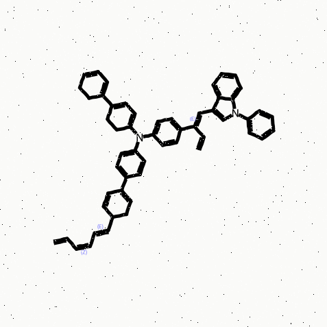 C=C/C=C\C=C\C1C=CC(c2ccc(N(C3=CC=C(C4=CC=CCC4)CC3)c3ccc(/C(C=C)=C/c4cn(-c5ccccc5)c5ccccc45)cc3)cc2)=CC1